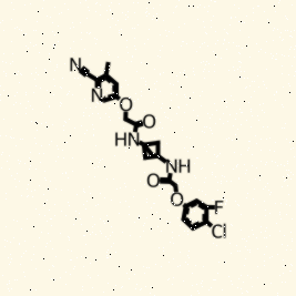 Cc1cc(OCC(=O)NC23CC(NC(=O)COc4ccc(Cl)c(F)c4)(C2)C3)cnc1C#N